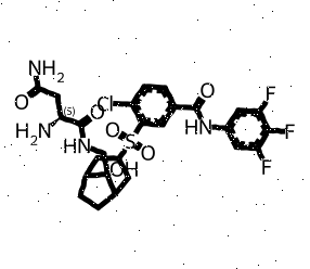 NC(=O)C[C@H](N)C(=O)NCC1(O)C2CCC1CC(S(=O)(=O)c1cc(C(=O)Nc3cc(F)c(F)c(F)c3)ccc1Cl)C2